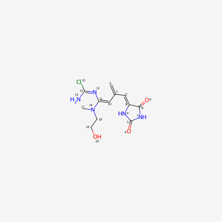 C=C(/C=C1\NC(=O)NC1=O)/C=C(\N=C(/N)Cl)N(C)CCO